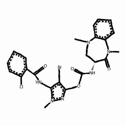 CN1C[C@@H](NC(=O)Oc2nn(C)c(NC(=O)c3ccccc3Cl)c2Br)C(=O)N(C)c2ccccc21